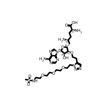 CS(=O)(=O)NCCOCCOCCOCCn1nncc1CCO[C@H]1[C@@H](O)[C@H](n2cnc3c(N)ncnc32)O[C@@H]1C[C@@H](N)CC[C@H](N)C(=O)O